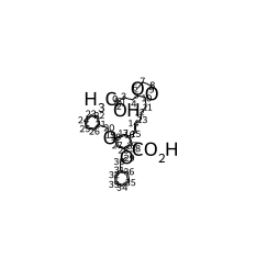 C[C@H](O)CCC1OCCOC1CCCC=Cc1cc(OCc2ccccc2)cc(OCc2ccccc2)c1C(=O)O